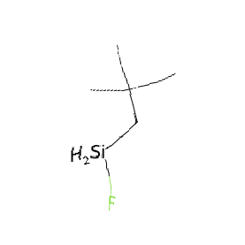 CC(C)(C)C[SiH2]F